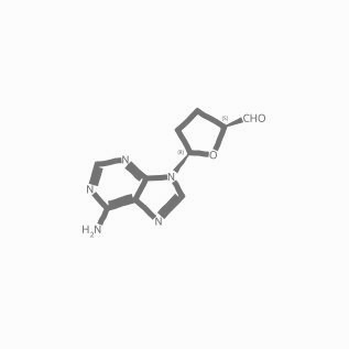 Nc1ncnc2c1ncn2[C@H]1CC[C@@H](C=O)O1